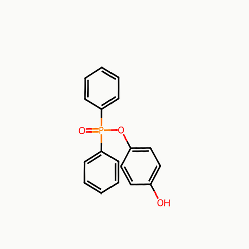 O=P(Oc1ccc(O)cc1)(c1ccccc1)c1ccccc1